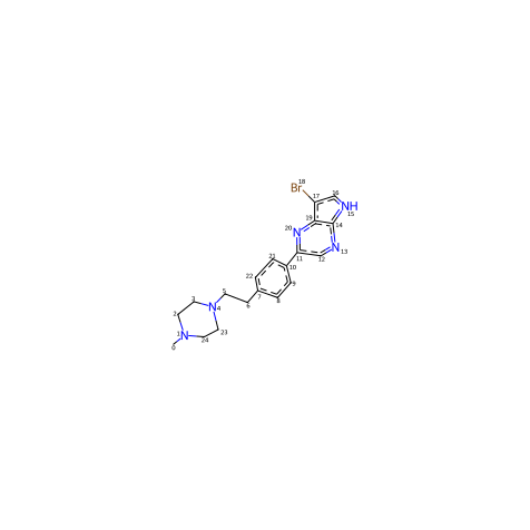 CN1CCN(CCc2ccc(-c3cnc4[nH]cc(Br)c4n3)cc2)CC1